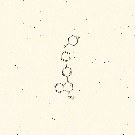 O=C(O)N1CCN(c2ncc(-c3ccc(OC4CCNCC4)cc3)cn2)c2ccccc21